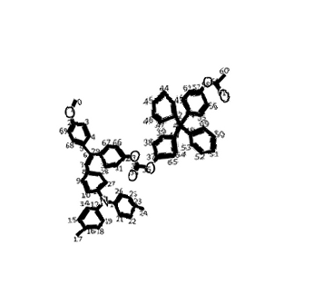 COc1ccc(C(=Cc2ccc(N(c3ccc(C)cc3)c3ccc(C)cc3)cc2)c2ccc(OC(=O)Oc3ccc(C(c4ccccc4)(c4ccccc4)c4ccc(OC(C)=O)cc4)cc3)cc2)cc1